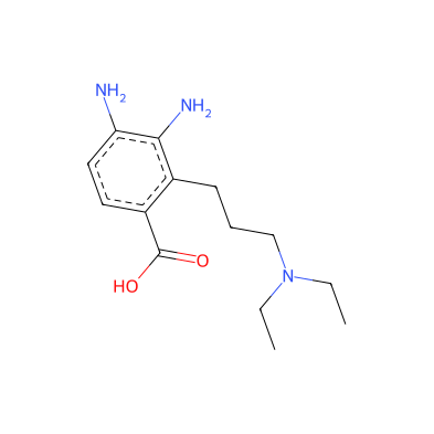 CCN(CC)CCCc1c(C(=O)O)ccc(N)c1N